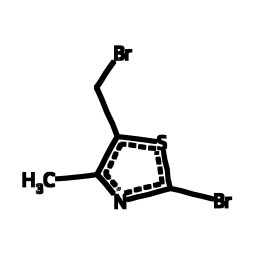 Cc1nc(Br)sc1CBr